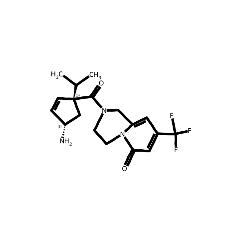 CC(C)[C@]1(C(=O)N2CCn3c(cc(C(F)(F)F)cc3=O)C2)C=C[C@@H](N)C1